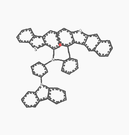 c1cc(N(c2ccccc2-c2cccc3oc4cc5ccccc5cc4c23)c2cccc3c2sc2ccccc23)cc(-n2c3ccccc3c3ccccc32)c1